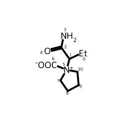 CCC(C(N)=O)[N+]1(C(=O)[O-])CCCC1